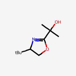 CC(C)(O)C1=NC(C(C)(C)C)CO1